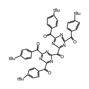 CC(C)(C)c1ccc(C(=O)c2nc(C(=O)c3ccc(C(C)(C)C)cc3)nc(C(=O)c3nc(C(=O)c4ccc(C(C)(C)C)cc4)nc(C(=O)c4ccc(C(C)(C)C)cc4)n3)n2)cc1